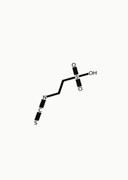 O=S(=O)(O)CCN=C=S